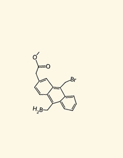 BCc1c2ccccc2c(CBr)c2cc(CC(=O)OC)ccc12